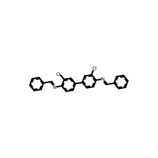 Clc1cc(-c2ccc(N=Cc3ccccc3)c(Cl)c2)ccc1N=Cc1ccccc1